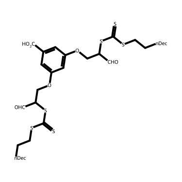 CCCCCCCCCCCCSC(=S)SC(C=O)COc1cc(OCC(C=O)SC(=S)SCCCCCCCCCCCC)cc(C(=O)O)c1